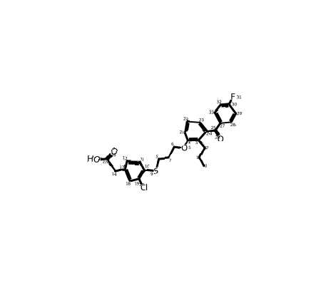 CCCc1c(OCCCSc2ccc(CC(=O)O)cc2Cl)cccc1C(=O)c1ccc(F)cc1